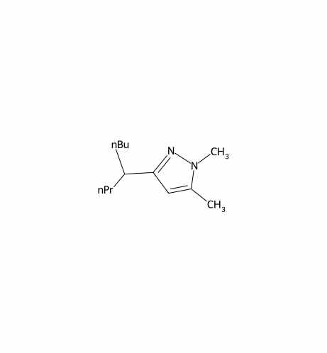 CCCCC(CCC)c1cc(C)n(C)n1